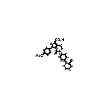 COc1ccc(-n2nc(C(=O)O)c3c2C(=O)N(c2ccc(N4CCCCC4=O)cc2)CC3)cc1